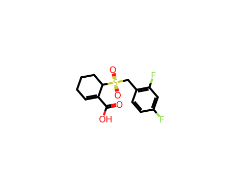 O=C(O)C1=CCCCC1S(=O)(=O)Cc1ccc(F)cc1F